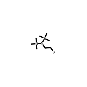 C[Si](C)(C)N(CCBr)[Si](C)(C)C